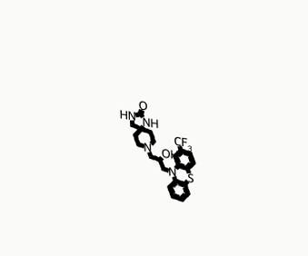 O=C1NCC2(CCN(CC(O)CN3c4ccccc4Sc4ccc(C(F)(F)F)cc43)CC2)N1